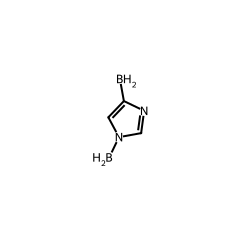 Bc1cn(B)cn1